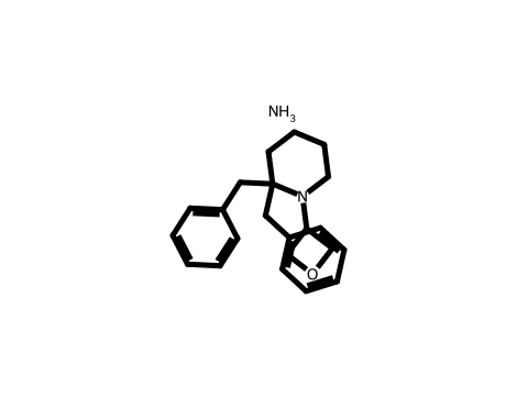 N.c1ccc(CC2(Cc3ccccc3)CCCCN2C2COC2)cc1